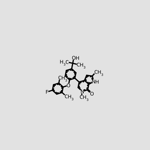 Cc1cc2c(-c3cc(C(C)(C)O)ccc3Oc3c(C)cc(F)cc3C)cn(C)c(=O)c2[nH]1